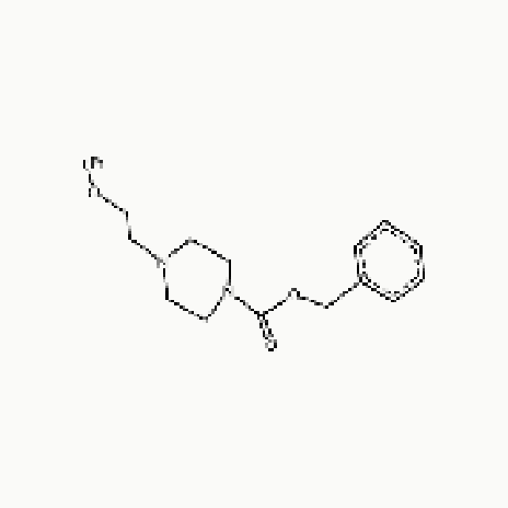 CCCOCCN1CCN(C(=O)OCc2ccccc2)CC1